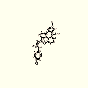 COc1cccc(OC)c1-n1c(NS[C@H](C)Cc2ncc(Cl)cn2)nnc1-c1ccn(C)n1